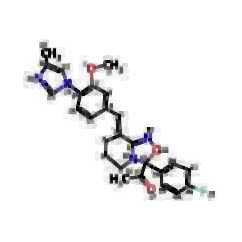 COc1cc(/C=C2\CCCN3C2=NOC3(C(C)=O)c2ccc(F)cc2)ccc1-n1cnc(C)c1